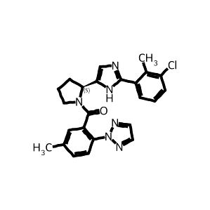 Cc1ccc(-n2nccn2)c(C(=O)N2CCC[C@H]2c2cnc(-c3cccc(Cl)c3C)[nH]2)c1